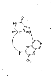 Cc1nc2cccc3c2nc1NCCCC[C@@H]1CNC(=O)c2cc-3[nH]c21